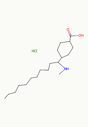 CCCCCCCCCCC(NC)C1CCC(C(=O)O)CC1.Cl